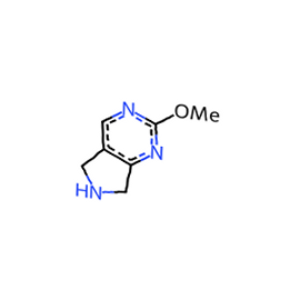 COc1ncc2c(n1)CNC2